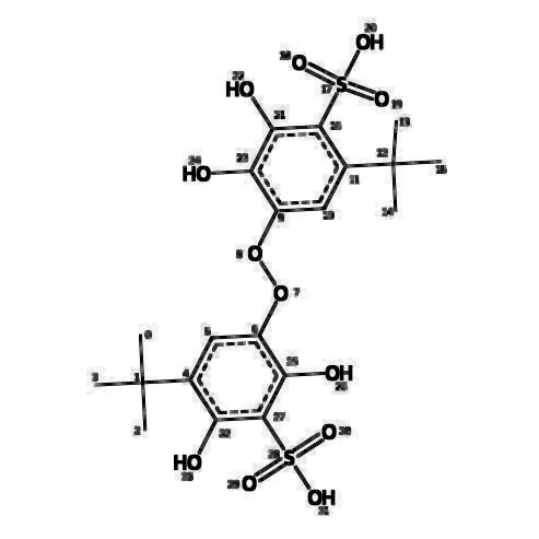 CC(C)(C)c1cc(OOc2cc(C(C)(C)C)c(S(=O)(=O)O)c(O)c2O)c(O)c(S(=O)(=O)O)c1O